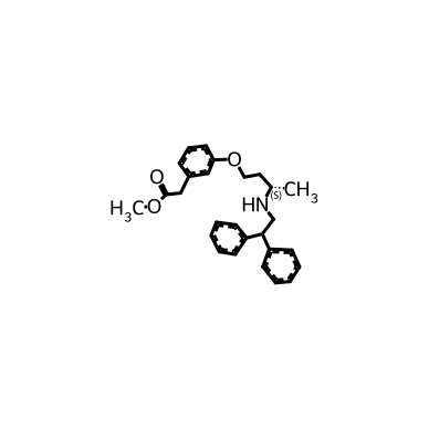 COC(=O)Cc1cccc(OCC[C@H](C)NCC(c2ccccc2)c2ccccc2)c1